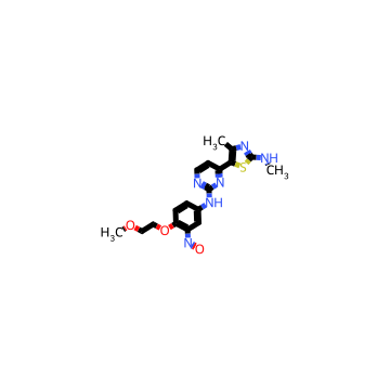 CNc1nc(C)c(-c2ccnc(Nc3ccc(OCCOC)c(N=O)c3)n2)s1